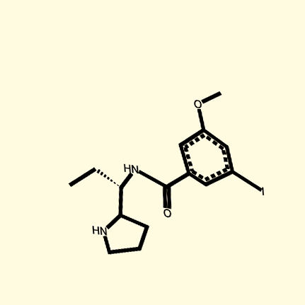 CC[C@H](NC(=O)c1cc(I)cc(OC)c1)C1CCCN1